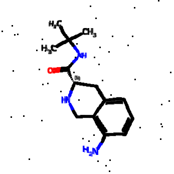 CC(C)(C)NC(=O)[C@@H]1Cc2cccc(N)c2CN1